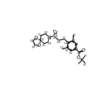 Cc1cc(C(=O)OC(C)(C)C)cc(C)c1CC[S+]([O-])N1CCC2(CC1)OCCO2